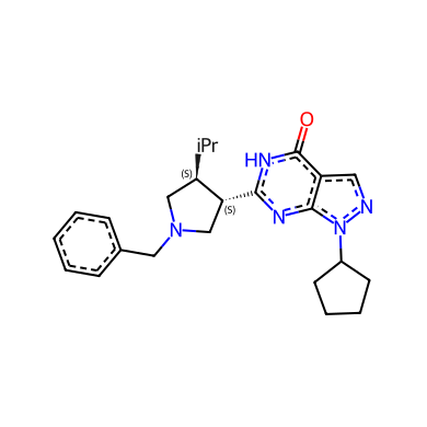 CC(C)[C@@H]1CN(Cc2ccccc2)C[C@H]1c1nc2c(cnn2C2CCCC2)c(=O)[nH]1